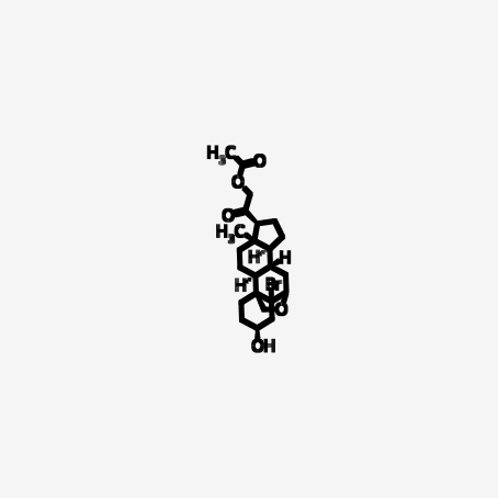 CC(=O)OCC(=O)[C@H]1CC[C@H]2[C@@H]3CC4OC[C@@]5(CC[C@H](O)CC45Br)[C@H]3CC[C@]12C